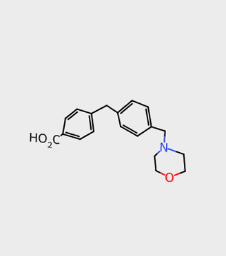 O=C(O)c1ccc(Cc2ccc(CN3CCOCC3)cc2)cc1